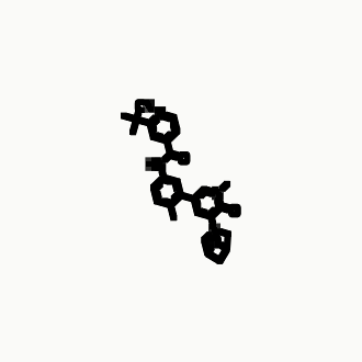 Cc1ccc(NC(=O)c2ccnc(C(C)(C)C#N)c2)cc1-c1cc(N2CC3CC(C2)O3)c(=O)n(C)c1